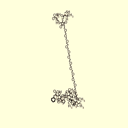 CC[C@H](C)C([C@@H](CC(=O)N1CCC[C@H]1[C@H](OC)[C@@H](C)C(=O)N[C@@H](Cc1ccccc1)C(=O)O)OC)N(C)C(=O)[C@@H](NC(=O)[C@H](C(C)C)N(C)OCCCOCCOCCOCCOCCOCCOCCOCCOCCOCCOCCOCCOCCN1C(=O)C(SCN[C@@H](CS)C(C)=O)C(SCC(=O)[C@H](CS)NC)C1=O)C(C)C